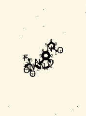 O=C[C@@H]1CCCN1c1ccc2c(c1)OCCn1cc(N3C(=O)OC[C@H]3CF)nc1-2